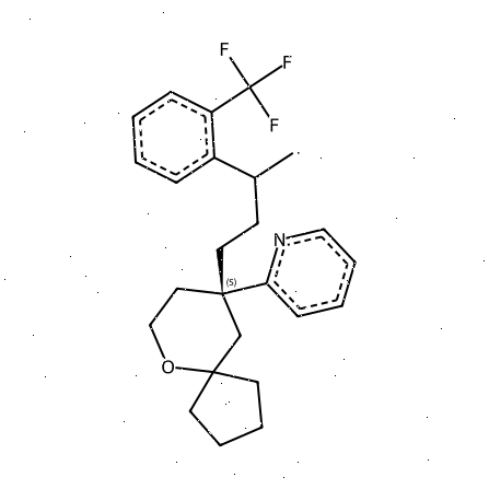 [CH2]C(CC[C@]1(c2ccccn2)CCOC2(CCCC2)C1)c1ccccc1C(F)(F)F